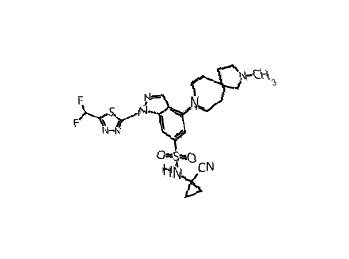 CN1CCC2(CCN(c3cc(S(=O)(=O)NC4(C#N)CC4)cc4c3cnn4-c3nnc(C(F)F)s3)CC2)C1